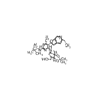 CCc1cc2cc(-c3c(C)nc(NCC(C)(C)C)nc3N[C@@H]3C[C@H](CO)[C@H]4OC(C)(C)O[C@H]43)oc2cn1